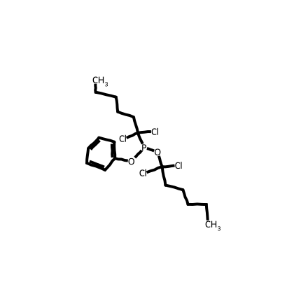 CCCCCC(Cl)(Cl)OP(Oc1ccccc1)C(Cl)(Cl)CCCCC